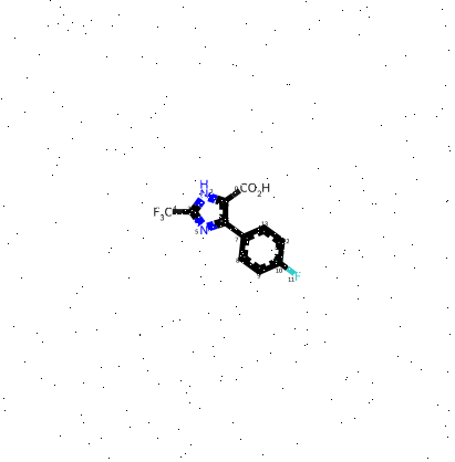 O=C(O)c1[nH]c(C(F)(F)F)nc1-c1ccc(F)cc1